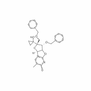 Cc1cn2c(nc1=O)OC1[C@@H](OCc3ccccc3)[C@@](COCc3ccccc3)(C3(O)CC3)O[C@@H]12